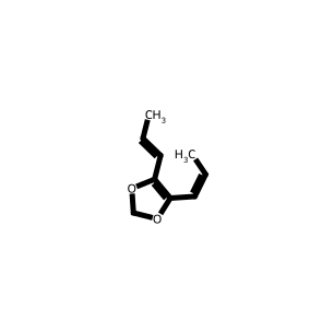 C/C=C\C1=C(/C=C/C)OCO1